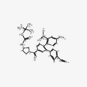 Cc1ccc(-c2ccc(C(=O)N3CC[C@H](NC(=O)OC(C)(C)C)C3)cc2-c2ccc(C#N)cc2)c([N+](=O)[O-])c1